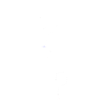 C=C(C)c1cccc(C(C)(C)NC(=O)OCCC2CC3CC2C2C3CC3OC32)c1